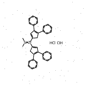 C[Si](C)=[Zr]([C]1=CC(c2ccccc2)=C(c2ccccc2)C1)[C]1=CC(c2ccccc2)=C(c2ccccc2)C1.Cl.Cl